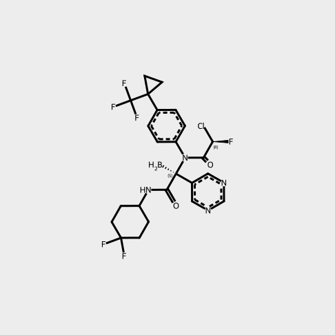 B[C@@](C(=O)NC1CCC(F)(F)CC1)(c1cncnc1)N(C(=O)[C@H](F)Cl)c1ccc(C2(C(F)(F)F)CC2)cc1